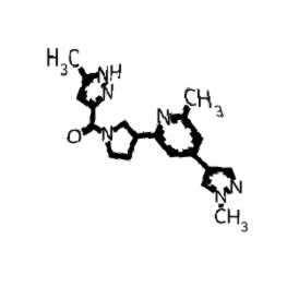 Cc1cc(-c2cnn(C)c2)cc(C2CCN(C(=O)c3cc(C)[nH]n3)C2)n1